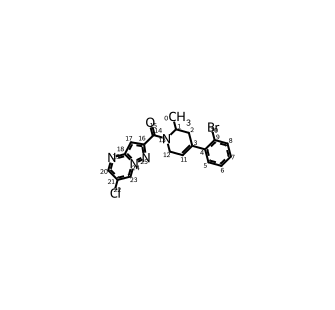 CC1CC(c2ccccc2Br)=CCN1C(=O)c1cc2ncc(Cl)cn2n1